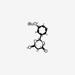 CC(C)COc1cccc(C2OC(=O)CC(=O)O2)c1